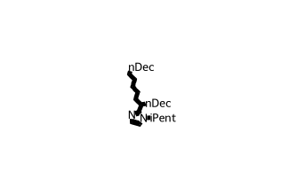 CCCCCCCCCCCCCCCC(CCCCCCCCCC)c1nccn1C(C)CCC